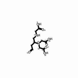 O=CCC(CNCC(=O)O)N(CC(=O)O)CC(=O)O